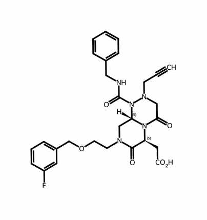 C#CCN1CC(=O)N2[C@@H](CC(=O)O)C(=O)N(CCOCc3cccc(F)c3)C[C@@H]2N1C(=O)NCc1ccccc1